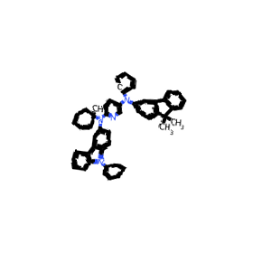 CC1(C)c2ccccc2-c2cc(N(c3ccccc3)c3ccc(N(c4ccc5c(c4)c4ccccc4n5-c4ccccc4)C4(C)C=CC=CC4)nc3)ccc21